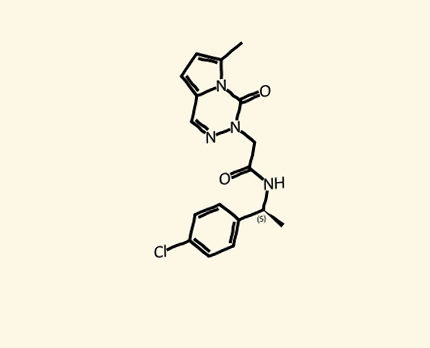 Cc1ccc2cnn(CC(=O)N[C@@H](C)c3ccc(Cl)cc3)c(=O)n12